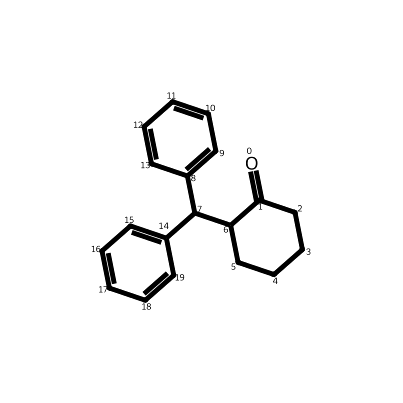 O=C1CCCCC1C(c1ccccc1)c1ccccc1